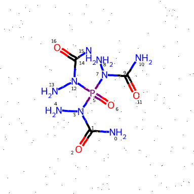 NC(=O)N(N)P(=O)(N(N)C(N)=O)N(N)C(N)=O